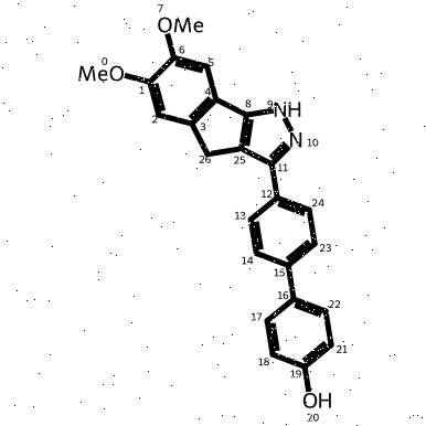 COc1cc2c(cc1OC)-c1[nH]nc(-c3ccc(-c4ccc(O)cc4)cc3)c1C2